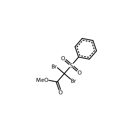 COC(=O)C(Br)(Br)S(=O)(=O)c1ccccc1